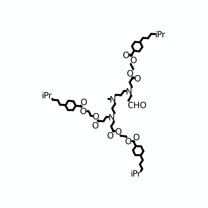 CC(C)CCCC1CCC(C(=O)OCCOC(=O)CCN(CCC=O)CCCN(C)CCCN(CCC(=O)OCCOC(=O)C2CCC(CCCC(C)C)CC2)CCC(=O)OCCOC(=O)C2CCC(CCCC(C)C)CC2)CC1